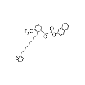 O=C(Oc1ccc2ccccc2c1)[C@@H]1O[C@H]1c1cccc(C(F)(F)F)c1CCCCCCCCc1cccs1